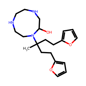 CC(CCc1ccco1)(CCc1ccco1)N1CCNCCNCC1O